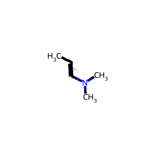 C/C=[C]/N(C)C